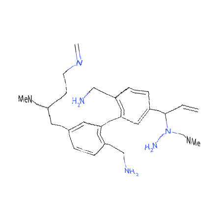 C=CC(c1ccc(CN)c(-c2cc(CC(CCN=C)NC)ccc2CN)c1)N(N)NC